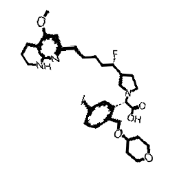 COc1cc(CCCC[C@H](F)C2CCN([C@H](C(=O)O)c3cc(I)ccc3COC3CCOCC3)C2)nc2c1CCCN2